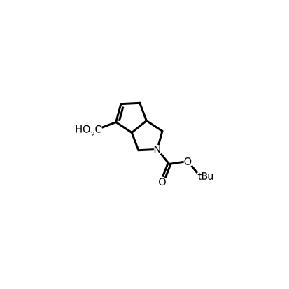 CC(C)(C)OC(=O)N1CC2CC=C(C(=O)O)C2C1